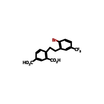 O=C(O)c1ccc(CCc2cc(C(F)(F)F)ccc2Br)c(C(=O)O)c1